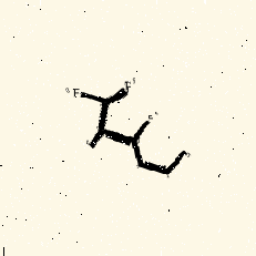 C/C=C\C(F)=C(/C)C(F)F